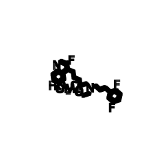 COc1ccc2ncc(F)c(CCCC3(C(=O)O)CN(CC=Cc4cc(F)ccc4F)CCO3)c2c1